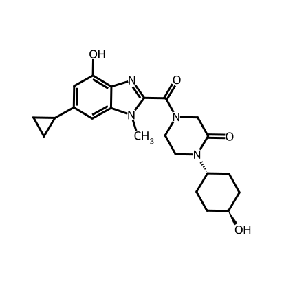 Cn1c(C(=O)N2CCN([C@H]3CC[C@H](O)CC3)C(=O)C2)nc2c(O)cc(C3CC3)cc21